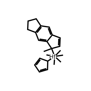 C[C]1([Hf]([CH3])([CH3])([CH3])([CH3])([CH3])[CH]2C=CC=C2)C=Cc2cc3c(cc21)CCC3